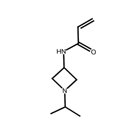 C=CC(=O)NC1CN(C(C)C)C1